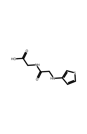 O=C(O)CNC(=O)CNc1ccsc1